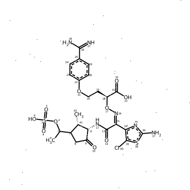 CC(OS(=O)(=O)O)C1CC(=O)[C@@H](NC(=O)/C(=N\O[C@@H](CCOc2ccc(C(=N)N)cc2)C(=O)O)c2nc(N)sc2Cl)[C@H]1C